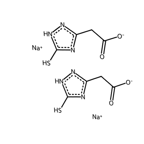 O=C([O-])Cc1n[nH]c(S)n1.O=C([O-])Cc1n[nH]c(S)n1.[Na+].[Na+]